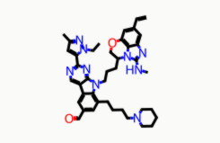 C=Cc1cc2c3c(c1)nc(NC)n3C(CCCn1c3nc(-c4cc(C)nn4CC)ncc3c3cc(C=O)cc(CCCCN4CCCCC4)c31)CO2